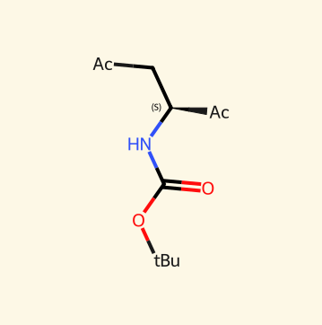 CC(=O)C[C@H](NC(=O)OC(C)(C)C)C(C)=O